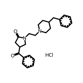 Cl.O=C(c1ccccc1)C1CC(=O)N(CCN2CCC(Cc3ccccc3)CC2)C1